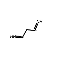 N=[C]C[C]=N